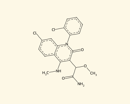 CNc1c(C(OC)C(N)=O)c(=O)n(-c2ccccc2Cl)c2cc(Cl)ccc12